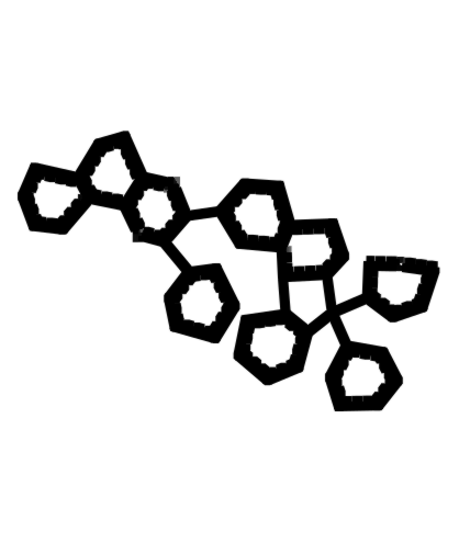 c1ccc(-c2nc3c(ccc4ccccc43)nc2-c2ccc3ccc4c(c3c2)-c2ccccc2C4(c2ccccc2)c2ccccc2)cc1